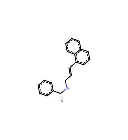 C[C@@H](NCC=Cc1cccc2ccccc12)c1ccccc1